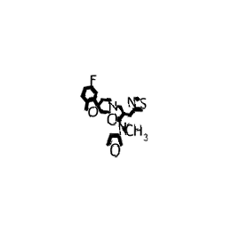 CN(C(=O)C(Cc1cscn1)CN1CCC2(CC1)OCc1ccc(F)cc12)C1CCOC1